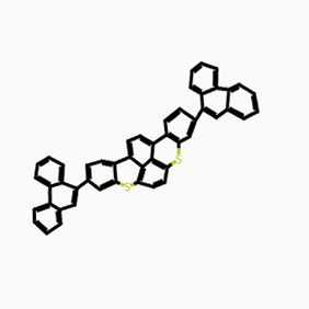 c1ccc2c(c1)cc(-c1ccc3c(c1)Sc1ccc4c5c(ccc-3c15)-c1ccc(-c3cc5ccccc5c5ccccc35)cc1S4)c1ccccc12